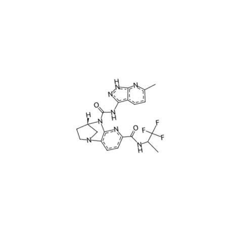 Cc1ccc2c(NC(=O)N3c4nc(C(=O)NC(C)C(F)(F)F)ccc4N4CC[C@H]3C4)n[nH]c2n1